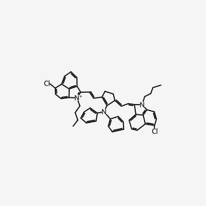 CCCCn1/c(=C/C=C2\CCC(/C=C/C3=[N+](CCCC)c4ccc(Cl)c5cccc3c45)=C2N(c2ccccc2)c2ccccc2)c2cccc3c(Cl)ccc1c32